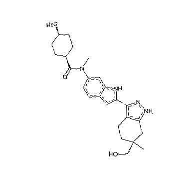 CO[C@H]1CC[C@@H](C(=O)N(C)c2ccc3cc(-c4n[nH]c5c4CCC(C)(CO)C5)[nH]c3c2)CC1